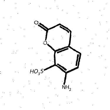 Nc1ccc2ccc(=O)oc2c1S(=O)(=O)O